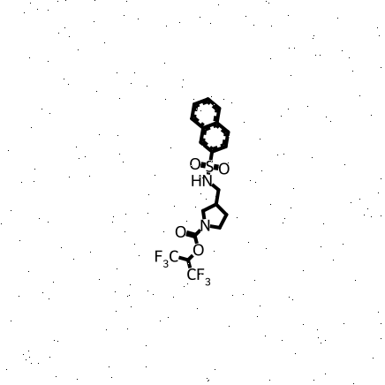 O=C(OC(C(F)(F)F)C(F)(F)F)N1CCC(CNS(=O)(=O)c2ccc3ccccc3c2)C1